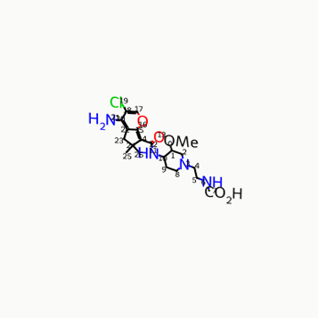 COC1CN(CCNC(=O)O)CCC1NC(=O)C1=C2OC=C(Cl)C(N)=C2CC1(C)C